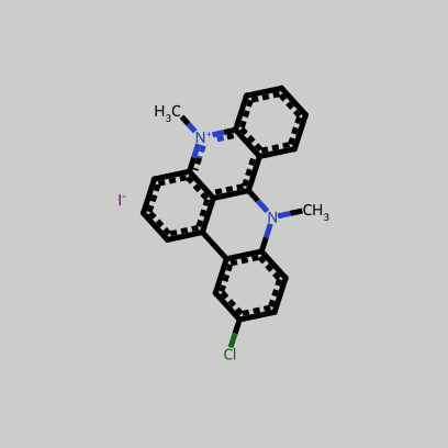 CN1c2ccc(Cl)cc2-c2cccc3c2c1c1ccccc1[n+]3C.[I-]